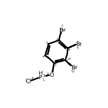 Cl[PH3]Oc1ccc(Br)c(Br)c1Br